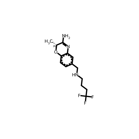 C[C@H]1Oc2ccc(CNCCCC(F)(F)F)cc2N=C1N